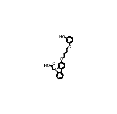 O=C(O)Cn1c2ccccc2c2ccc(OCCCCOc3cccc(O)c3)cc21